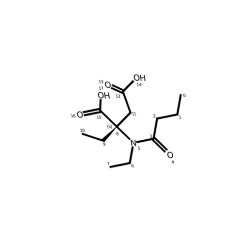 CCCC(=O)N(CC)[C@@](CC)(CC(=O)O)C(=O)O